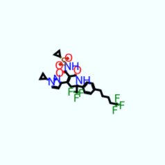 O=C1NC(c2ccc(CCCCC(F)(F)F)cc2)(C(F)(F)F)CC(c2ccn(C3CC3)n2)=C1C(=O)NS(=O)(=O)C1CC1